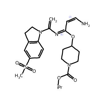 C=C(/N=C(\C=C/N)OC1CCN(C(=O)OC(C)C)CC1)N1CCc2cc(S(C)(=O)=O)ccc21